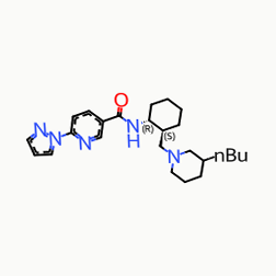 CCCCC1CCCN(C[C@@H]2CCCC[C@H]2NC(=O)c2ccc(-n3cccn3)nc2)C1